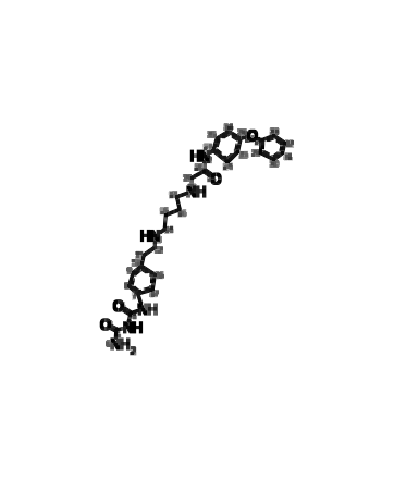 NC(=O)NC(=O)Nc1ccc(CCNCCCCNCC(=O)Nc2ccc(Oc3ccccc3)cc2)cc1